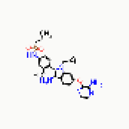 CCCS(=O)(=O)Nc1ccc(-c2c(N)c3ccc(Oc4nccnc4N)cc3n2CC2CC2)c(C)c1